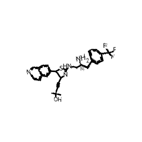 CC(C)(O)C#CC1N=C(NC[C@@H](N)Cc2ccc(C(F)(F)F)cc2)SC1c1ccc2cnccc2c1